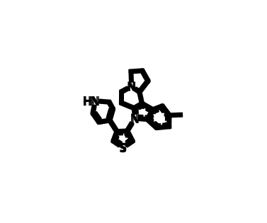 Cc1ccc2c(c1)c1c(n2-c2cscc2C2=CCNC=C2)CCN2CCCC12